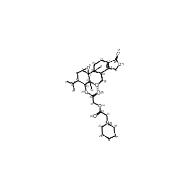 CC(C)C1CC2OC23C2(C)CCC4=C(COC4=O)C2COC3(C)C1OC(=O)COC(=O)CN1CCCCC1